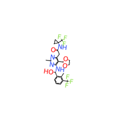 Cc1nc(CC(=O)NC2(C(F)(F)F)CC2)c(C2OCCO2)c(NC(O)c2cccc(C(F)(F)F)c2C)n1